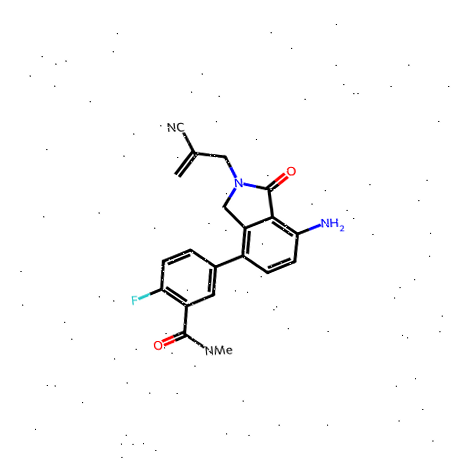 C=C(C#N)CN1Cc2c(-c3ccc(F)c(C(=O)NC)c3)ccc(N)c2C1=O